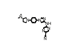 CN(C)[C@@H]1CCN(c2ccc(-n3cnc(Nc4cnc(C#N)cn4)c3)cc2)C1